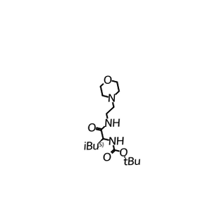 CC[C@H](C)C(NC(=O)OC(C)(C)C)C(=O)NCCN1CCOCC1